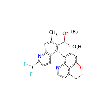 Cc1cc2nc(C(F)F)ccc2c(-c2ccc3c4c(ccnc24)CCO3)c1C(OC(C)(C)C)C(=O)O